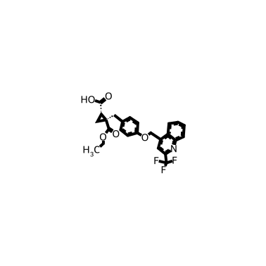 CCOC(=O)[C@@]1(Cc2ccc(OCc3cc(C(F)(F)F)nc4ccccc34)cc2)C[C@@H]1C(=O)O